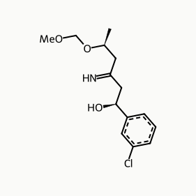 COCO[C@@H](C)CC(=N)C[C@H](O)c1cccc(Cl)c1